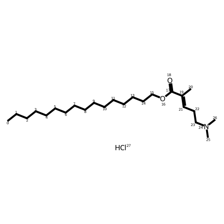 CCCCCCCCCCCCCCCCOC(=O)C(C)=CCCN(C)C.Cl